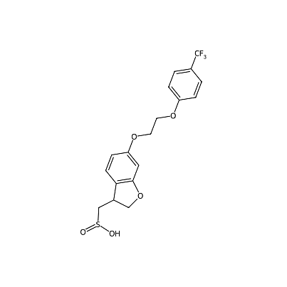 O=S(O)CC1COc2cc(OCCOc3ccc(C(F)(F)F)cc3)ccc21